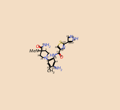 CNC1(C(N)=O)CCN(c2cc(C)c(N)cc2NC(=O)c2csc(-c3cn[nH]c3)n2)CC1